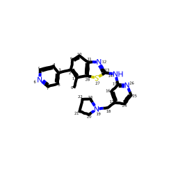 Cc1c(-c2ccncc2)ccc2nc(Nc3cc(CN4CCCC4)ccn3)sc12